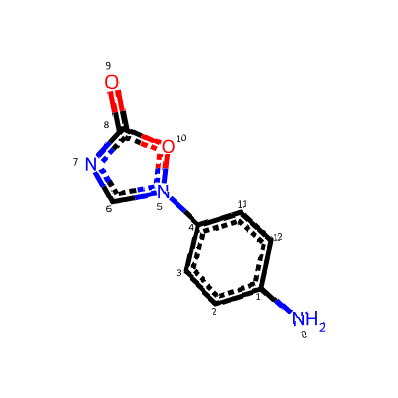 Nc1ccc(-n2cnc(=O)o2)cc1